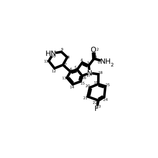 NC(=O)c1cc2c(C3CCNCC3)cccc2n1Cc1ccc(F)cc1